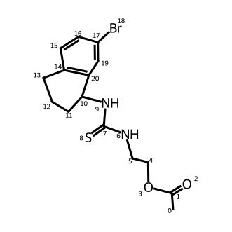 CC(=O)OCCNC(=S)NC1CCCc2ccc(Br)cc21